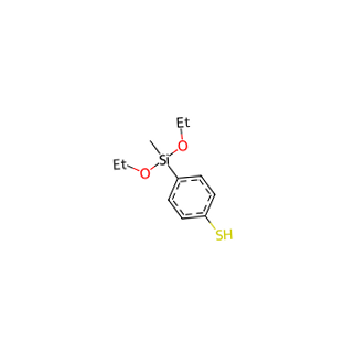 CCO[Si](C)(OCC)c1ccc(S)cc1